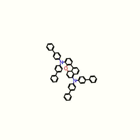 C1=CC2=C(N(c3ccc(-c4ccccc4)cc3)c3ccc(-c4ccccc4)cc3)C=CC3Oc4c(cccc4N(c4ccc(-c5ccccc5)cc4)c4ccc(-c5ccccc5)cc4)C(=C1)C23